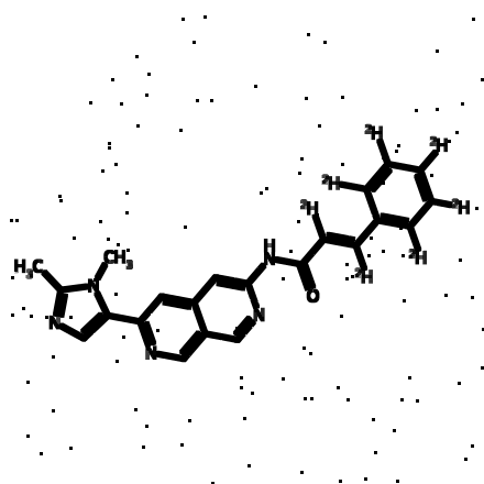 [2H]/C(C(=O)Nc1cc2cc(-c3cnc(C)n3C)ncc2cn1)=C(/[2H])c1c([2H])c([2H])c([2H])c([2H])c1[2H]